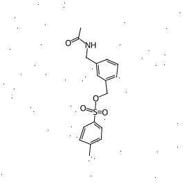 CC(=O)NCc1cccc(COS(=O)(=O)c2ccc(C)cc2)c1